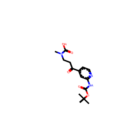 CN(CCC(=O)c1ccnc(NC(=O)OC(C)(C)C)c1)C(=O)O